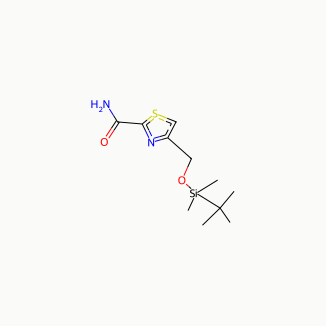 CC(C)(C)[Si](C)(C)OCc1csc(C(N)=O)n1